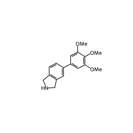 COc1cc(-c2ccc3c(c2)CNC3)cc(OC)c1OC